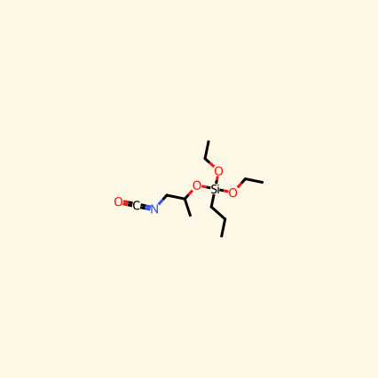 CCC[Si](OCC)(OCC)OC(C)CN=C=O